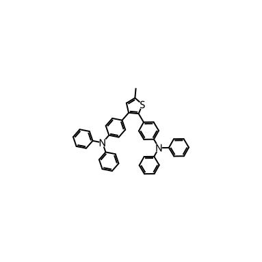 Cc1cc(-c2ccc(N(c3ccccc3)c3ccccc3)cc2)c(-c2ccc(N(c3ccccc3)c3ccccc3)cc2)s1